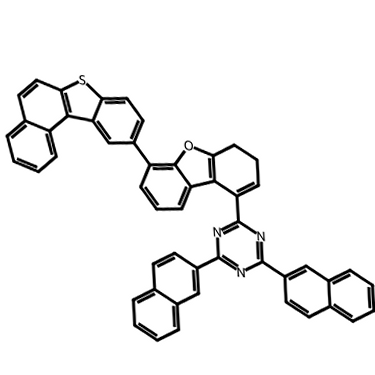 C1=C(c2nc(-c3ccc4ccccc4c3)nc(-c3ccc4ccccc4c3)n2)c2c(oc3c(-c4ccc5sc6ccc7ccccc7c6c5c4)cccc23)CC1